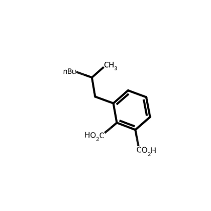 CCCCC(C)Cc1cccc(C(=O)O)c1C(=O)O